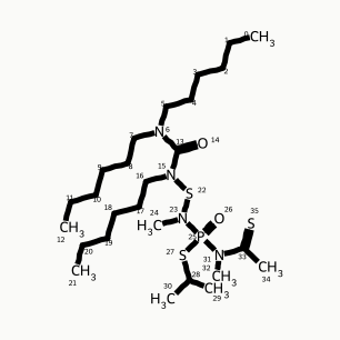 CCCCCCN(CCCCCC)C(=O)N(CCCCCC)SN(C)P(=O)(SC(C)C)N(C)C(C)=S